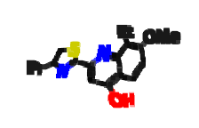 CCc1c(OC)ccc2c(O)cc(C3=NC(C(C)C)CS3)nc12